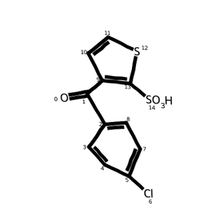 O=C(c1ccc(Cl)cc1)c1ccsc1S(=O)(=O)O